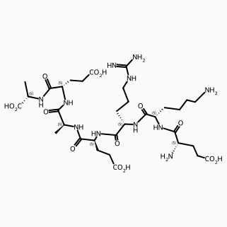 C[C@H](NC(=O)[C@H](CCC(=O)O)NC(=O)[C@H](C)NC(=O)[C@H](CCC(=O)O)NC(=O)[C@H](CCCNC(=N)N)NC(=O)[C@H](CCCCN)NC(=O)[C@@H](N)CCC(=O)O)C(=O)O